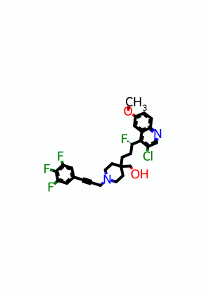 COc1ccc2ncc(Cl)c([C@@H](F)CCC3(CO)CCN(CC#Cc4cc(F)c(F)c(F)c4)CC3)c2c1